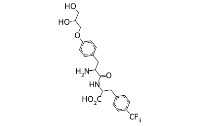 N[C@@H](Cc1ccc(OCC(O)CO)cc1)C(=O)NC(Cc1ccc(C(F)(F)F)cc1)C(=O)O